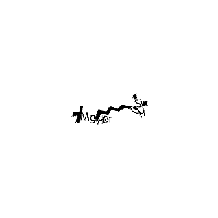 Br.C[SiH](C)OCCCCC[CH2][Mg][C](C)(C)C